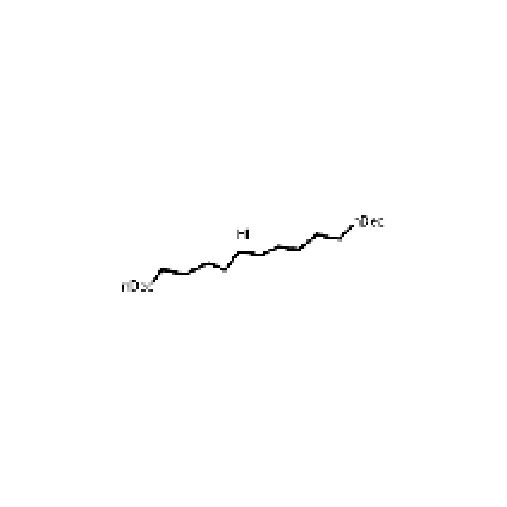 CCCCCCCCCCCCCCCCCCCCCCCCCCCCCC.I